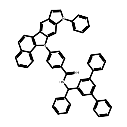 N=C(NC(c1ccccc1)c1cc(-c2ccccc2)cc(-c2ccccc2)c1)c1ccc(-n2c3cc4c(ccn4-c4ccccc4)cc3c3ccc4ccccc4c32)cc1